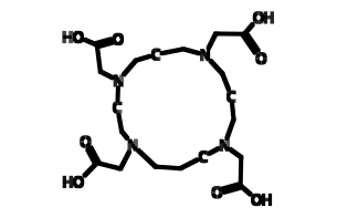 O=C(O)CN1CCCN(CC(=O)O)CCCN(CC(=O)O)CCN(CC(=O)O)CCC1